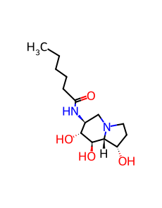 CCCCCC(=O)N[C@H]1CN2CC[C@H](O)[C@@H]2[C@@H](O)[C@@H]1O